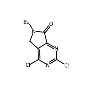 CCC(C)N1Cc2c(Cl)nc(Cl)nc2C1=O